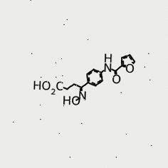 O=C(O)CCC(=NO)c1ccc(NC(=O)c2ccco2)cc1